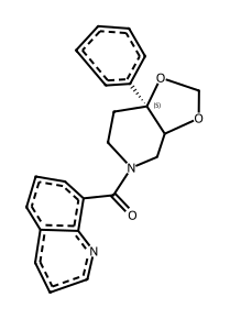 O=C(c1cccc2cccnc12)N1CC[C@@]2(c3ccccc3)OCOC2C1